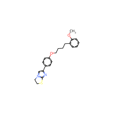 COc1ccccc1CCCCOc1ccc(-c2cn3c(n2)SCC3)cc1